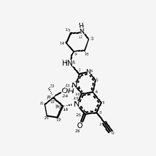 C#Cc1cc2cnc(NC3CCNCC3)nc2n([C@@H]2CCC[C@@]2(C)O)c1=O